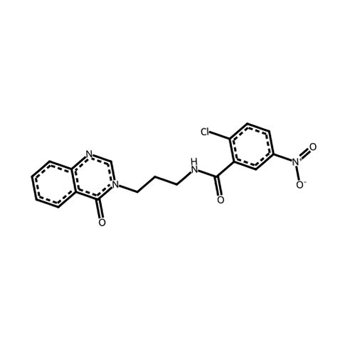 O=C(NCCCn1cnc2ccccc2c1=O)c1cc([N+](=O)[O-])ccc1Cl